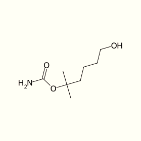 CC(C)(CCCCO)OC(N)=O